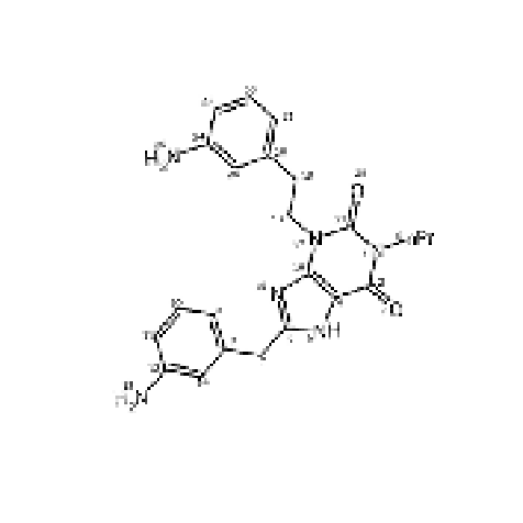 CCCn1c(=O)c2[nH]c(Cc3cccc(N)c3)nc2n(CCc2cccc(N)c2)c1=O